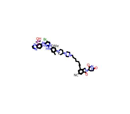 COc1cc(N2CCC(N3CCN(CCCCCC#Cc4cc(C#N)cc5c4CN(C4CCC(=O)NC4=O)C5=O)CC3)CC2)c(C)cc1Nc1ncc(Br)c(Nc2ccc3nccnc3c2[PH](C)(C)O)n1